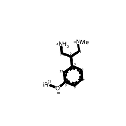 CNCC(CN)c1cccc(OC(C)C)c1